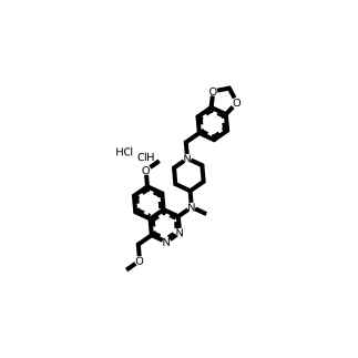 COCc1nnc(N(C)C2CCN(Cc3ccc4c(c3)OCO4)CC2)c2cc(OC)ccc12.Cl.Cl